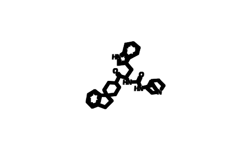 O=C(NC(Cc1c[nH]c2ccccc12)C(=O)C1CCC2(CCc3ccccc32)CC1)NC1CN2CCC1CC2